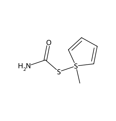 CS1(SC(N)=O)C=CC=C1